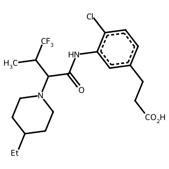 CCC1CCN(C(C(=O)Nc2cc(CCC(=O)O)ccc2Cl)C(C)C(F)(F)F)CC1